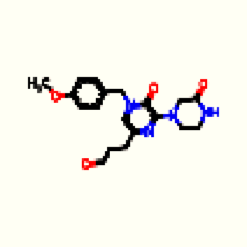 COc1ccc(Cn2cc(CCC=O)nc(N3CCNC(=O)C3)c2=O)cc1